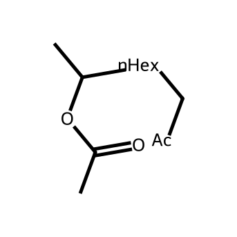 CC(=O)OC(C)C.CCCCCCCC(C)=O